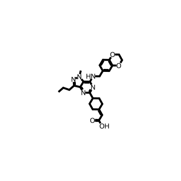 CCCc1nn(C)c2c(NCc3ccc4c(c3)OCCO4)nc(C3CCC(=CC(=O)O)CC3)nc12